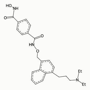 CCN(CC)CCCc1ccc(CONC(=O)c2ccc(C(=O)NO)cc2)c2ccccc12